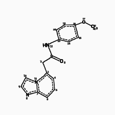 O=C(Cc1cccc2nccn12)Nc1ccc(OC(F)(F)F)cc1